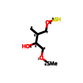 CSOCC(O)C(C)COS